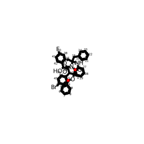 CC(OCc1ccccc1)(C(=O)N1C(=O)OCC1(Cc1ccccc1)Nc1ccccc1)C(CC(O)c1ccc(F)cc1)c1ccc(Br)cc1